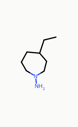 CCC1CCCN(N)CC1